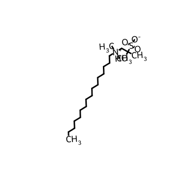 CCCCCCCCCCCCCCCC[N+](C)(C)CC(C)(O)S(=O)(=O)[O-]